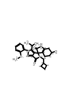 COc1ccccc1-n1nc2c(c1C(C)C)C1(C(=O)NC3=C1CCC(Cl)C3)N(CC1CCC1)C2=O